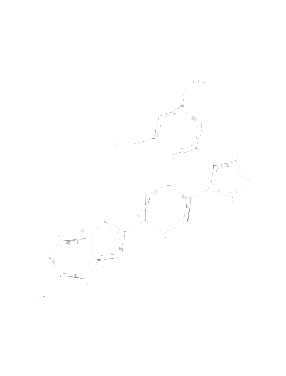 COc1cc(OC)cc(-c2cncn2-c2ccc(-c3nc4ccc(OC)cc4s3)cc2)c1